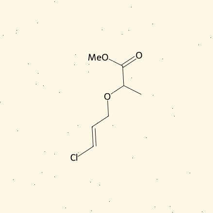 COC(=O)C(C)OCC=CCl